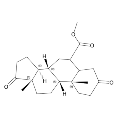 COC(=O)C1C[C@@H]2[C@@H](CC[C@]3(C)C(=O)CC[C@@H]23)[C@@]2(C)CCC(=O)CC12